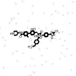 Cc1cc(C(=O)NC2CCNCC2)ccc1-c1ccc(C[C@H](NC(=O)C2CCC(CN)CC2)C(=O)Nc2ccc(-c3nc(C(F)(F)F)n[nH]3)cc2)cc1.Cl